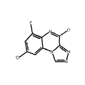 Fc1cc(Cl)cc2c1nc(Cl)c1nncn12